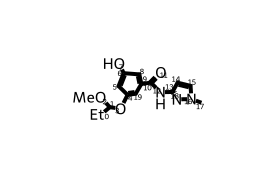 CCC(OC)Oc1cc(O)cc(C(=O)Nc2ccn(C)n2)c1